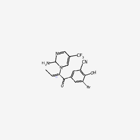 C/C=C(/C(=O)c1cc(Br)c(O)c(C#N)c1)N1C=C(C(F)(F)F)C=NC1N